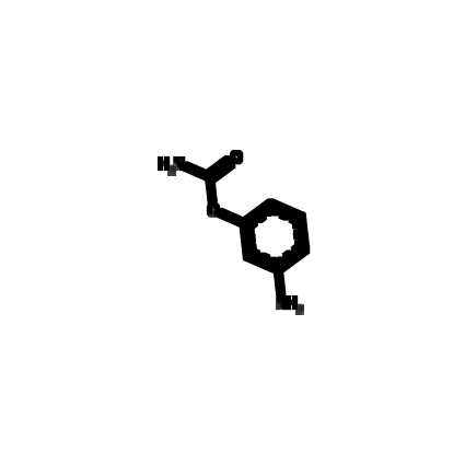 NC(=O)Oc1cccc(N)c1